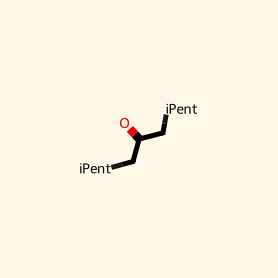 CCCC(C)CC(=O)CC(C)CCC